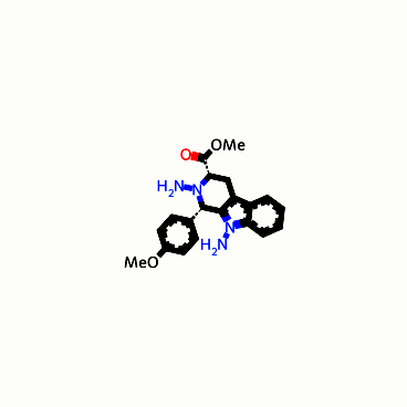 COC(=O)[C@@H]1Cc2c(n(N)c3ccccc23)[C@H](c2ccc(OC)cc2)N1N